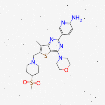 Cc1c(CN2CCC(S(C)(=O)=O)CC2)sc2c(N3CCOCC3)nc(-c3ccc(N)nc3)nc12